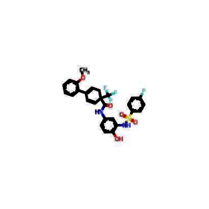 COc1ccccc1C1=CCC(C(=O)Nc2ccc(O)c(NS(=O)(=O)c3ccc(F)cc3)c2)(C(F)(F)F)C=C1